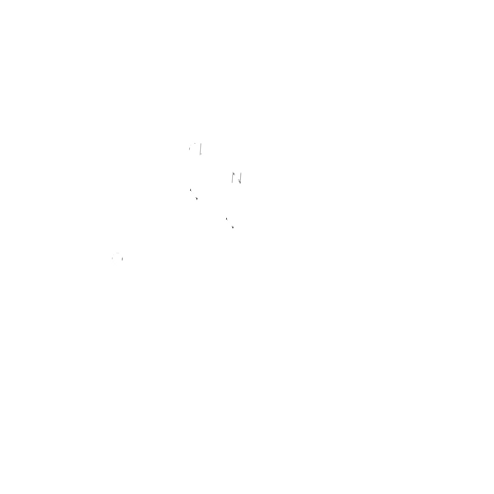 Clc1nc(-c2ccc(-c3ccccc3)cc2)nc(-c2ccc3c(c2)OC2C=CC=CC32)n1